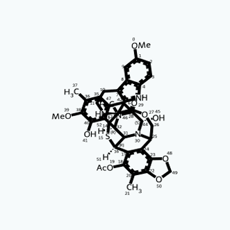 COc1ccc2[nH]c3c(c2c1)CCN[C@@]31CS[C@@H]2c3c(OC(C)=O)c(C)c4c(c3C(COC1=O)N1C2[C@H]2c3c(cc(C)c(OC)c3O)CC([C@@H]1O)N2C)OCO4